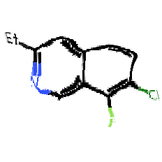 CCc1cc2ccc(Cl)c(F)c2cn1